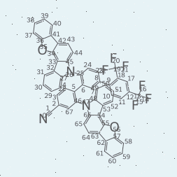 N#Cc1ccc(-c2cc(-c3ccc(C(F)(F)F)cc3C(F)(F)F)ccc2-n2c3ccccc3c3c4oc5ccccc5c4ccc32)c(-n2c3ccccc3c3c4oc5ccccc5c4ccc32)c1